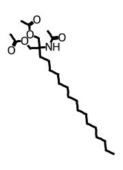 CCCCCCCCCCCCCCCCC(COC(C)=O)(COC(C)=O)NC(C)=O